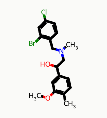 COc1cc(C(O)CN(C)Cc2ccc(Cl)cc2Br)ccc1C